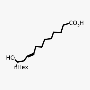 CCCCCC[C@H](O)C/C=C/CCCCCCCC(=O)O